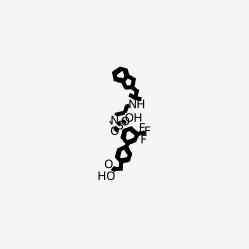 CN(CC(O)CNC(C)(C)CC1Cc2ccccc2C1)S(=O)(=O)c1cc(-c2ccc(CC(=O)O)cc2)cc(C(F)(F)F)c1